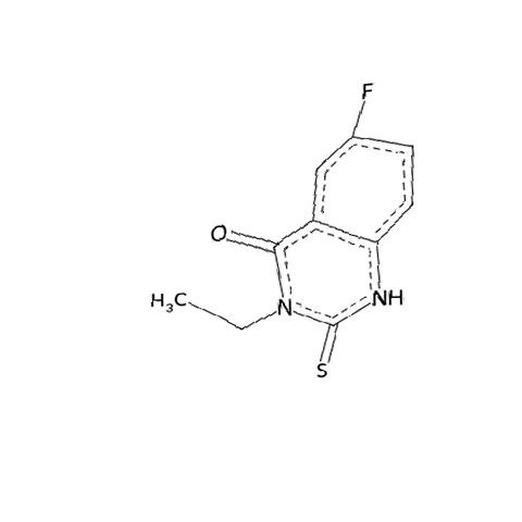 CCn1c(=S)[nH]c2ccc(F)cc2c1=O